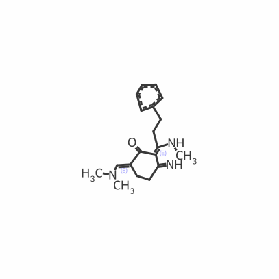 CN/C(CCc1ccccc1)=C1\C(=N)CC/C(=C\N(C)C)C1=O